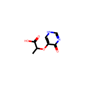 CC(Oc1c[nH][c]nc1=O)C(=O)O